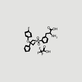 NC(Cc1cccc(S(=O)(=O)N2CC(Oc3ccc(F)cc3)(c3ccccc3)C2)c1)C(=O)O.O=C(O)C(F)(F)F